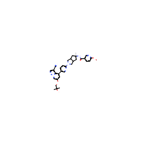 COc1ccc(C(=O)N[C@]2(C)C[C@H]3CN(c4ccc(-c5cc(OCC(C)(C)O)cn6ncc(C#N)c56)cn4)C[C@H]3C2)cn1